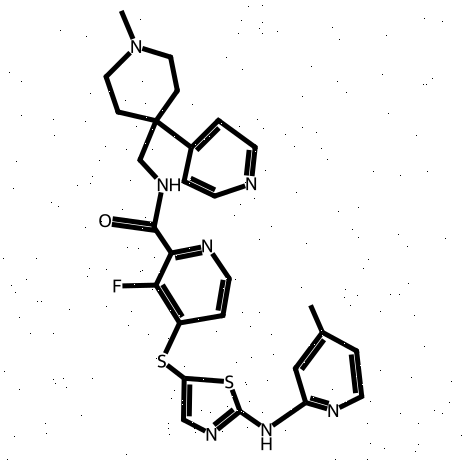 Cc1ccnc(Nc2ncc(Sc3ccnc(C(=O)NCC4(c5ccncc5)CCN(C)CC4)c3F)s2)c1